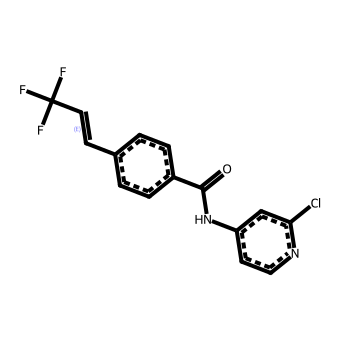 O=C(Nc1ccnc(Cl)c1)c1ccc(/C=C/C(F)(F)F)cc1